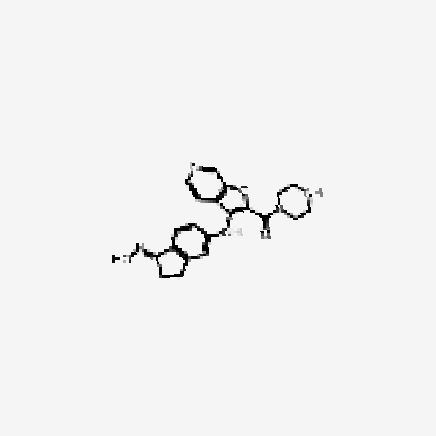 O=C(c1oc2cnccc2c1Nc1ccc2c(c1)CCC2=NO)N1CCNCC1